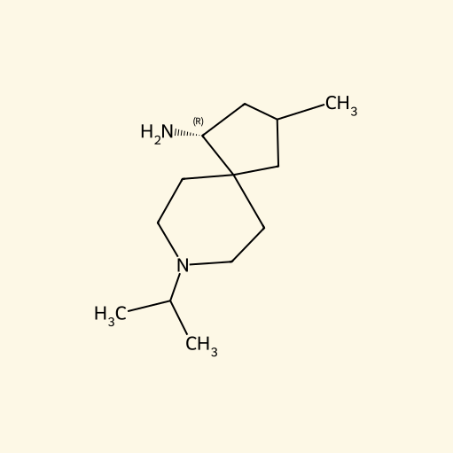 CC1C[C@@H](N)C2(CCN(C(C)C)CC2)C1